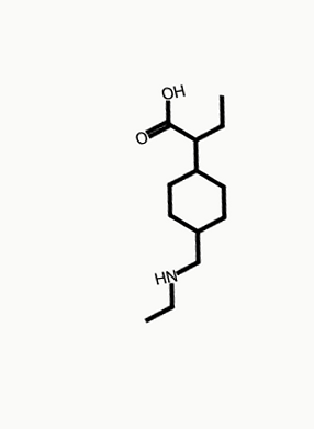 CCNCC1CCC(C(CC)C(=O)O)CC1